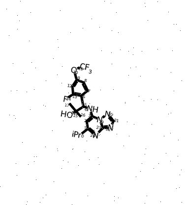 CC(C)c1cc(NC(c2ccc(OC(F)(F)F)cc2F)C(C)(C)O)n2ncnc2n1